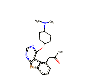 CNC(=O)Cc1cccc2sc3ncnc(O[C@H]4CC[C@H](N(C)C)CC4)c3c12